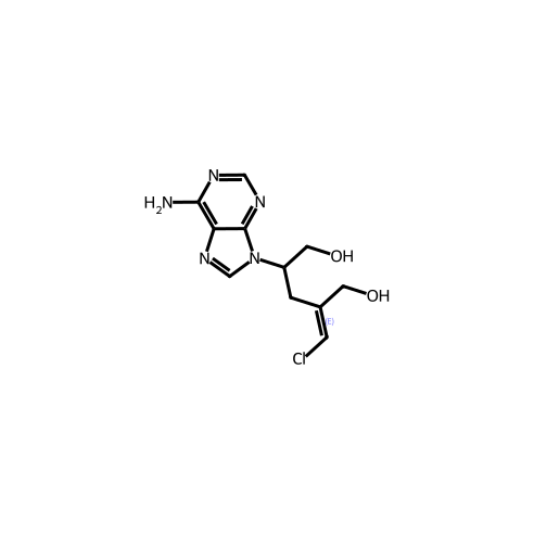 Nc1ncnc2c1ncn2C(CO)C/C(=C\Cl)CO